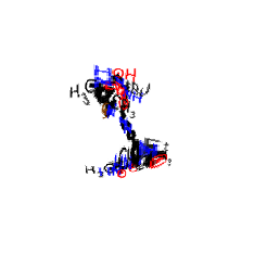 CCN(c1cc(-c2ccc(N3CCN(CCCCOCC(=O)NC(C(=O)N4C[C@H](O)C[C@H]4C(=O)NC(C)c4ccc(-c5scnc5C)cc4)C(C)(C)C)CC3)cc2)cc(C(=O)NCc2c(C)cc(C)[nH]c2=O)c1C)C1CCOCC1